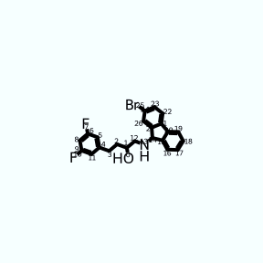 OC(CCc1cc(F)cc(F)c1)CNC1c2ccccc2-c2ccc(Br)cc21